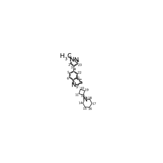 Cn1cc(-c2ccc3nc([C@H]4C[C@H](N5CCCCC5)C4)sc3c2)cn1